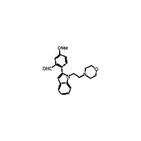 COc1ccc(-c2cc3ccccc3n2CCN2CCOCC2)c(C=O)c1